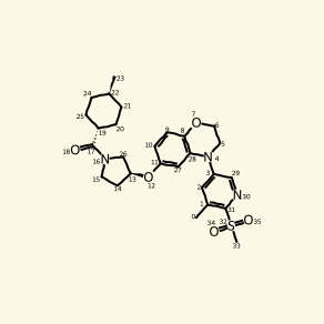 Cc1cc(N2CCOc3ccc(O[C@H]4CCN(C(=O)[C@H]5CC[C@H](C)CC5)C4)cc32)cnc1S(C)(=O)=O